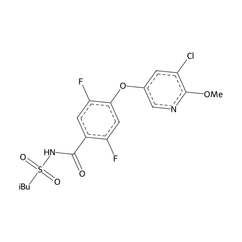 CCC(C)S(=O)(=O)NC(=O)c1cc(F)c(Oc2cnc(OC)c(Cl)c2)cc1F